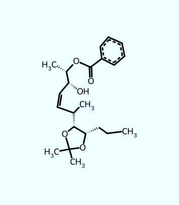 CCC[C@@H]1OC(C)(C)O[C@@H]1C(C)/C=C\[C@@H](O)[C@H](C)OC(=O)c1ccccc1